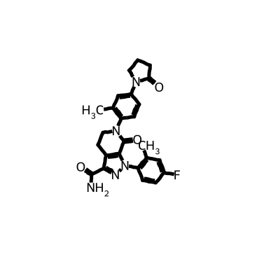 Cc1cc(N2CCCC2=O)ccc1N1CCc2c(C(N)=O)nn(-c3ccc(F)cc3C)c2C1=O